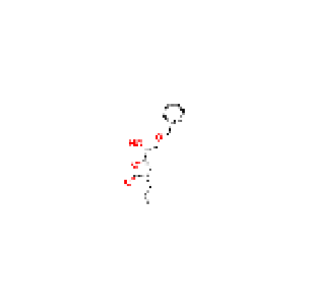 CCCC1C=C([C@H](O)COCc2ccccc2)OC1=O